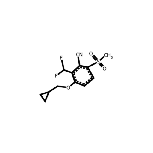 CS(=O)(=O)c1ccc(OCC2CC2)c(C(F)F)c1C#N